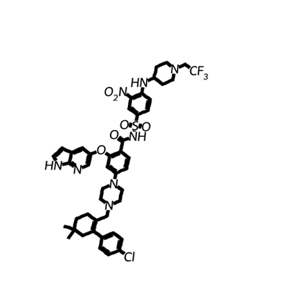 CC1(C)CCC(CN2CCN(c3ccc(C(=O)NS(=O)(=O)c4ccc(NC5CCN(CC(F)(F)F)CC5)c([N+](=O)[O-])c4)c(Oc4cnc5[nH]ccc5c4)c3)CC2)=C(c2ccc(Cl)cc2)C1